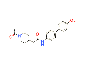 COc1ccc(-c2ccc(NC(=O)CC3CCN(C(C)=O)CC3)cc2)cc1